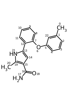 Cc1cccc(Oc2ccccc2-c2cc(C(N)=O)c(C)[nH]2)c1